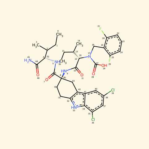 CCC(C)[C@H](NC(=O)[C@@]1(NC(=O)[C@H](C(C)CC)N(Cc2c(F)cccc2F)C(=O)O)CCc2[nH]c3c(Cl)cc(Cl)cc3c2C1)C(N)=O